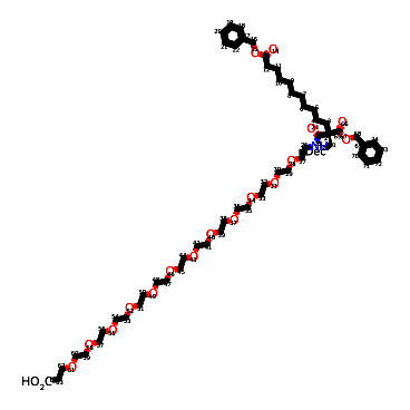 CCCCCCCCCCC[C@](CCCCCCCCCCC(=O)OCc1ccccc1)(C(=O)NCCOCCOCCOCCOCCOCCOCCOCCOCCOCCOCCOCCOCCC(=O)O)C(=O)OCc1ccccc1